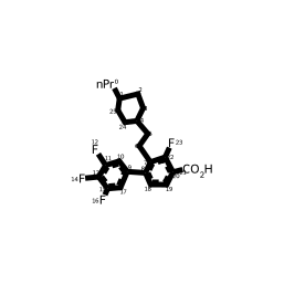 CCCC1CCC(CCc2c(-c3cc(F)c(F)c(F)c3)ccc(C(=O)O)c2F)CC1